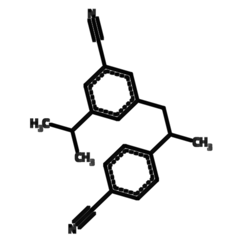 CC(C)c1cc(C#N)cc(CC(C)c2ccc(C#N)cc2)c1